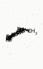 CCCCCc1cc2cc(F)c(C3CCC(OCC4CCC(c5cc(F)c(C(F)(F)F)c(F)c5)CC4)CC3)c(F)c2s1